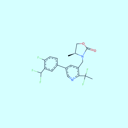 C[C@H]1COC(=O)N1Cc1cc(-c2ccc(F)c(C(F)F)c2)cnc1C(C)(F)F